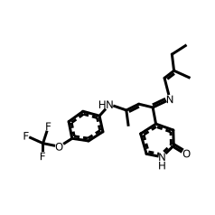 CC/C(C)=C/N=C(\C=C(/C)Nc1ccc(OC(F)(F)F)cc1)c1cc[nH]c(=O)c1